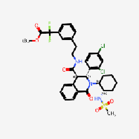 CC(C)(C)OC(=O)C(F)(F)c1cccc(CCNC(=O)[C@@H]2c3ccccc3C(=O)N([C@H]3CCCC[C@@H]3NS(C)(=O)=O)[C@H]2c2ccc(Cl)cc2Cl)c1